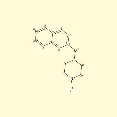 CCN1CCC(Oc2ccc3cnccc3c2)CC1